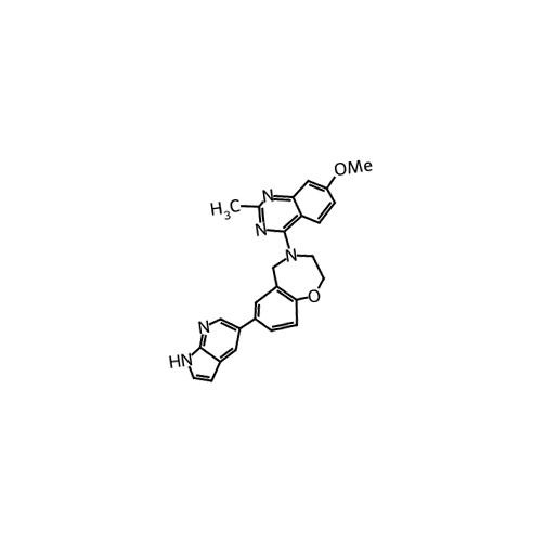 COc1ccc2c(N3CCOc4ccc(-c5cnc6[nH]ccc6c5)cc4C3)nc(C)nc2c1